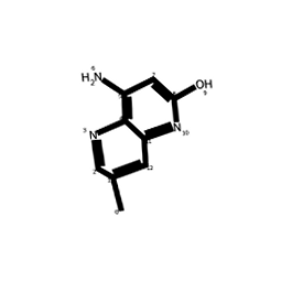 Cc1cnc2c(N)cc(O)nc2c1